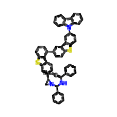 C=C=C(NC(c1ccccc1)N1CC1c1ccc2c(c1)sc1cccc(-c3ccc4sc5ccc(-n6c7ccccc7c7ccccc76)cc5c4c3)c12)c1ccccc1